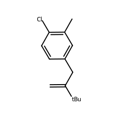 C=C(Cc1ccc(Cl)c(C)c1)C(C)(C)C